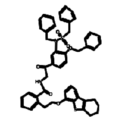 O=C(CNC(=O)c1ccccc1CCOc1cccc2c3c(sc12)CCCC3)c1ccc(OCc2ccccc2)c(N(Cc2ccccc2)S(=O)(=O)Cc2ccccc2)c1